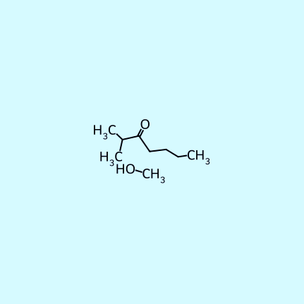 CCCCC(=O)C(C)C.CO